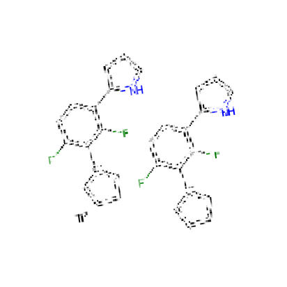 Fc1ccc(-c2ccc[nH]2)c(F)c1-[c-]1cccc1.Fc1ccc(-c2ccc[nH]2)c(F)c1-[c-]1cccc1.[Ti+2]